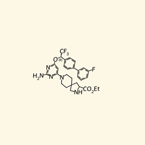 CCOC(=O)C1CC2(CCN(c3cc(O[C@H](c4ccc(-c5cccc(F)c5)cc4)C(F)(F)F)nc(N)n3)CC2)CN1